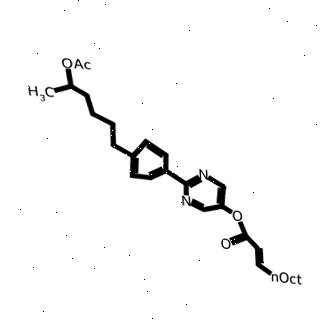 CCCCCCCCC=CC(=O)Oc1cnc(-c2ccc(CCCCC(C)OC(C)=O)cc2)nc1